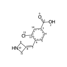 O=C(O)c1ccc(C=C2CNC2)c(Cl)c1